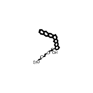 CCOCCOCCOCC(O)Oc1cccc2cc3cc4ccc5cc6cc7ccccc7cc6cc5c4cc3cc12